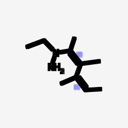 C/C=C(C)\C(C)=C(\C)N(N)CC